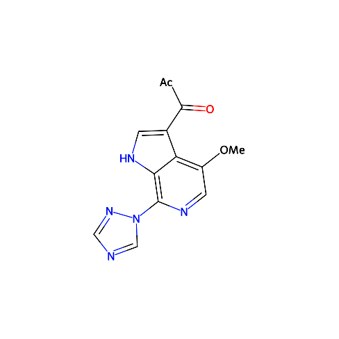 COc1cnc(-n2cncn2)c2[nH]cc(C(=O)C(C)=O)c12